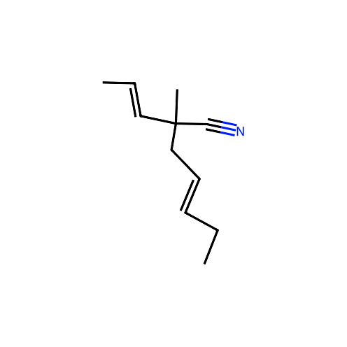 CC=CC(C)(C#N)CC=CCC